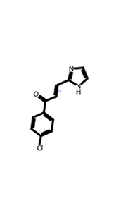 O=C(/C=C/c1ncc[nH]1)c1ccc(Cl)cc1